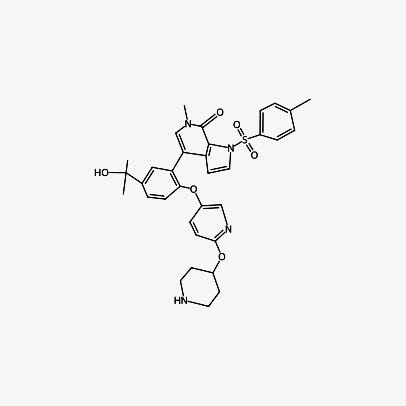 Cc1ccc(S(=O)(=O)n2ccc3c(-c4cc(C(C)(C)O)ccc4Oc4ccc(OC5CCNCC5)nc4)cn(C)c(=O)c32)cc1